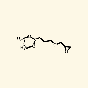 C(COCC1CO1)C[Si]1O[SiH2]O[SiH2]O1